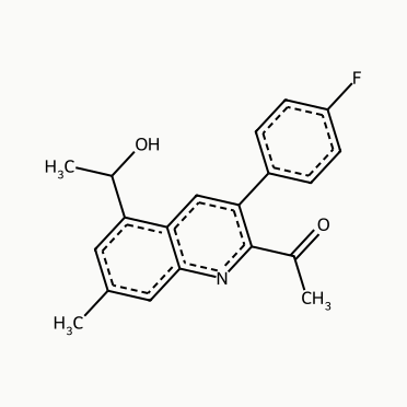 CC(=O)c1nc2cc(C)cc(C(C)O)c2cc1-c1ccc(F)cc1